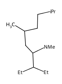 CCC(CC)C(CC(C)CCC(C)C)NC